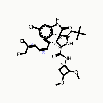 C=C(/C=C\C=C(\Cl)CF)[C@H]1[C@H](C(=O)N[C@@H]2CC(OC)C2OC)N[C@H](CC(C)(C)C)[C@]12C(=O)Nc1cc(Cl)ccc12